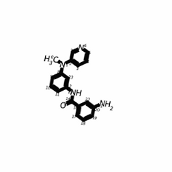 CN(c1cccnc1)c1cccc(NC(=O)c2cccc(N)c2)c1